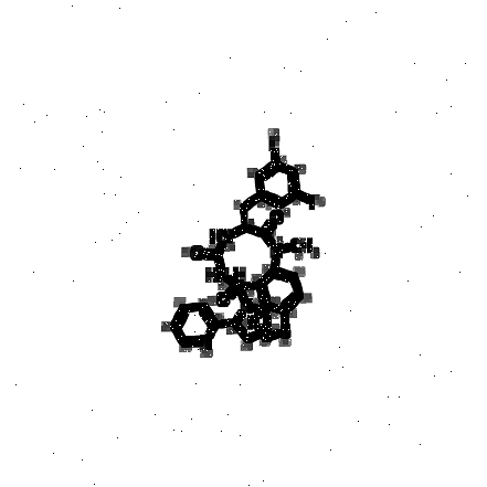 CN1C(=O)[C@H](Cc2cc(F)cc(F)c2)NC(=O)N[SH](=O)(N2CCCC2c2ccccn2)c2c1ccc1scnc21